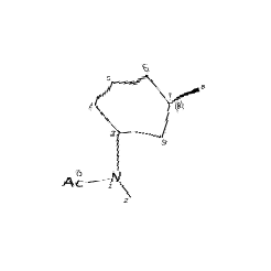 CC(=O)N(C)C1CCC[C@@H](C)C1